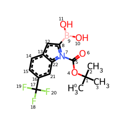 CC(C)(C)OC(=O)n1c(B(O)O)cc2ccc(C(F)(F)F)cc21